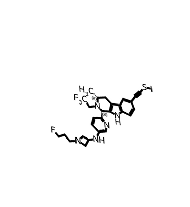 C[C@@H]1Cc2c([nH]c3ccc(C#CSI)cc23)[C@@H](c2ccc(NC3CN(CCCF)C3)cn2)N1CC(F)(F)F